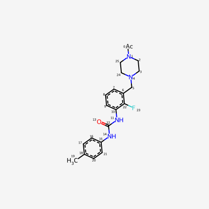 CC(=O)N1CCN(Cc2cccc(NC(=O)Nc3ccc(C)cc3)c2F)CC1